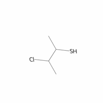 CC(S)C(C)Cl